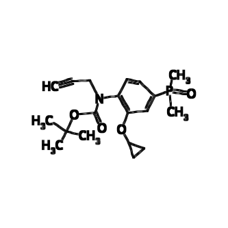 C#CCN(C(=O)OC(C)(C)C)c1ccc(P(C)(C)=O)cc1OC1CC1